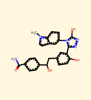 Cn1ccc2cc(-n3c(O)nnc3-c3cc(CC(O)c4ccc(C(N)=O)cc4)ccc3O)ccc21